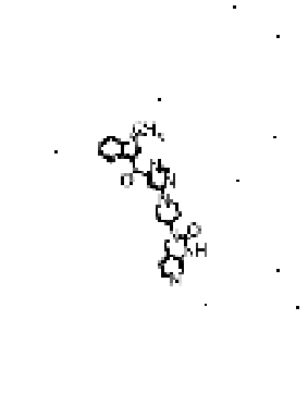 Cn1cc(C(=O)c2cc(N3CCC(N4Cc5ccncc5NC4=O)CC3)ncn2)c2ccccc21